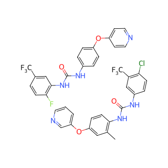 Cc1cc(Oc2cccnc2)ccc1NC(=O)Nc1ccc(Cl)c(C(F)(F)F)c1.O=C(Nc1ccc(Oc2ccncc2)cc1)Nc1cc(C(F)(F)F)ccc1F